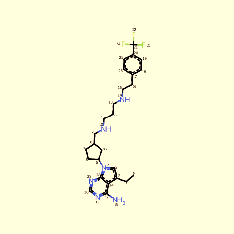 CCc1cn(C2CCC(CNCCCNCCc3ccc(C(F)(F)F)cc3)C2)c2ncnc(N)c12